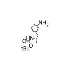 CC(Cc1cccc(N)c1)NC(=O)OC(C)(C)C